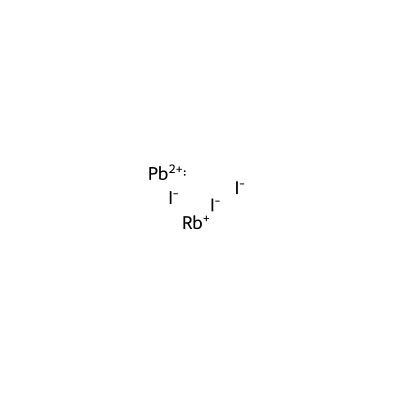 [I-].[I-].[I-].[Pb+2].[Rb+]